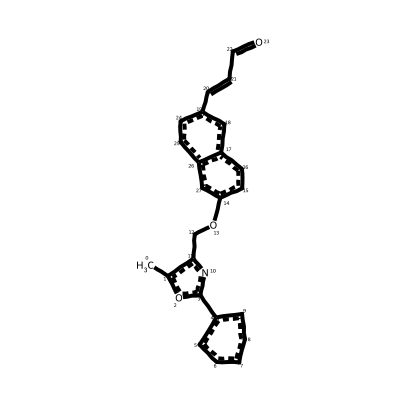 Cc1oc(-c2ccccc2)nc1COc1ccc2cc(C=CC=O)ccc2c1